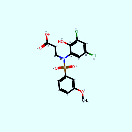 COc1cccc(S(=O)(=O)N(CCC(=O)O)c2cc(Cl)cc(Cl)c2O)c1